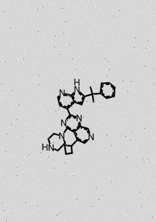 CC(C)(c1ccccc1)c1cc2c(-c3nc(N4CCNCC4)c4c(C5CCC5)cncc4n3)ccnc2[nH]1